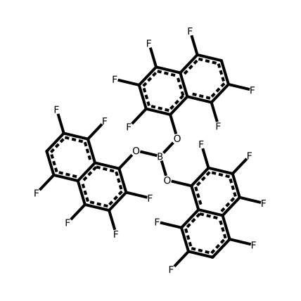 Fc1cc(F)c2c(F)c(F)c(F)c(OB(Oc3c(F)c(F)c(F)c4c(F)cc(F)c(F)c34)Oc3c(F)c(F)c(F)c4c(F)cc(F)c(F)c34)c2c1F